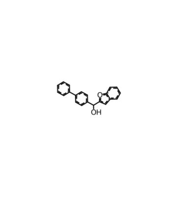 OC(c1ccc(-c2ccccc2)cc1)c1cc2ccccc2o1